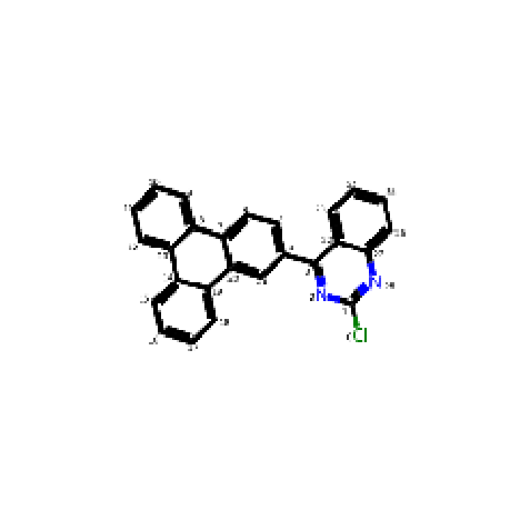 Clc1nc(-c2ccc3c4ccccc4c4ccccc4c3c2)c2ccccc2n1